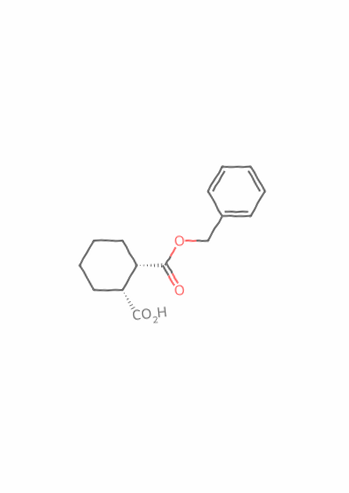 O=C(OCc1ccccc1)[C@H]1CCCC[C@H]1C(=O)O